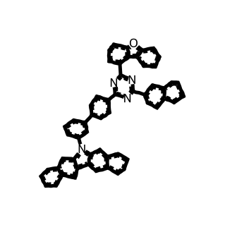 c1cc(-c2ccc(-c3nc(-c4ccc5ccccc5c4)nc(-c4cccc5oc6ccccc6c45)n3)cc2)cc(-n2c3cc4ccccc4cc3c3cc4ccccc4cc32)c1